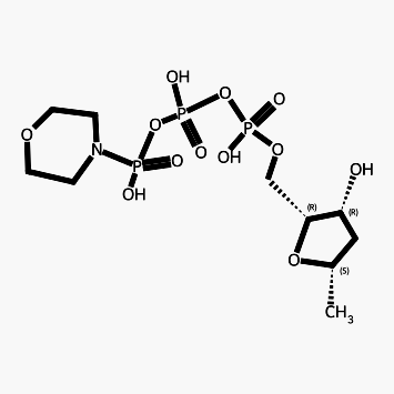 C[C@H]1C[C@@H](O)[C@@H](COP(=O)(O)OP(=O)(O)OP(=O)(O)N2CCOCC2)O1